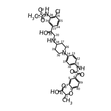 CC(Oc1ccc(S(=O)(=O)Nc2ccc(N3CCC(NC[C@@H](O)c4ccc(Cl)c(NS(C)(=O)=O)c4)CC3)cc2)cc1)C(=O)O